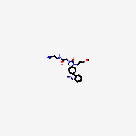 COCCCN1C(=O)N(CC(=O)NCCC#N)C[C@]12CC[C@@](c1ccccc1)(N(C)C)CC2